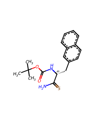 CC(C)(C)OC(=O)N[C@H](Cc1ccc2ccccc2c1)C(N)=S